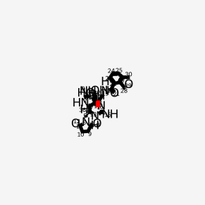 N=C1N[C@H]2[C@H](CN3C(=O)CCC3=O)NC(=N)N3CC(NC(=O)c4cccc5c4COC5)C(O)(O)C23N1